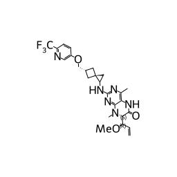 C=C[C@@H](OC)[C@H]1C(=O)Nc2c(C)nc(NC3C[C@]34C[C@H](COc3ccc(C(F)(F)F)nc3)C4)nc2N1C